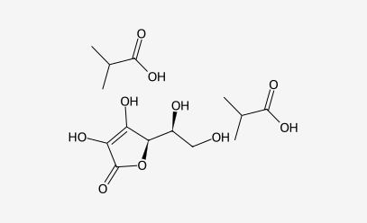 CC(C)C(=O)O.CC(C)C(=O)O.O=C1O[C@H]([C@@H](O)CO)C(O)=C1O